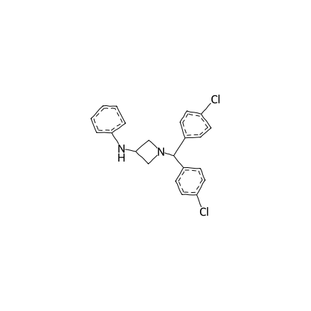 Clc1ccc(C(c2ccc(Cl)cc2)N2CC(Nc3ccccc3)C2)cc1